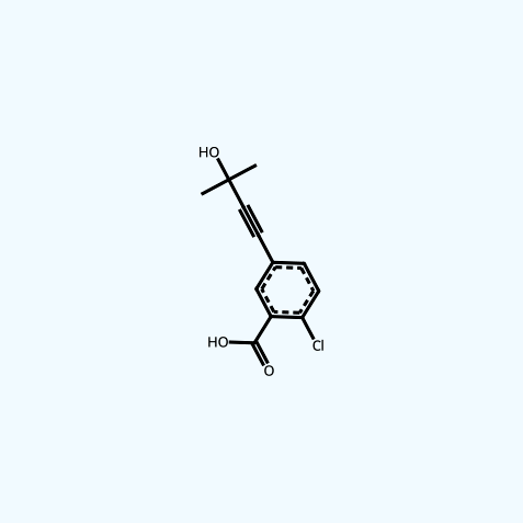 CC(C)(O)C#Cc1ccc(Cl)c(C(=O)O)c1